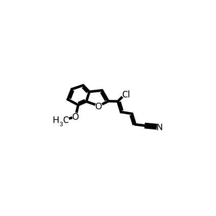 COc1cccc2cc(C(Cl)=CC=CC#N)oc12